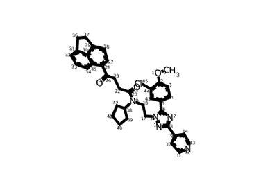 COc1ccc(-c2nc(-c3ccncc3)nn2CCN(C(=O)CCC(=O)c2ccc3c4c(cccc24)CC3)C2CCCC2)cc1Cl